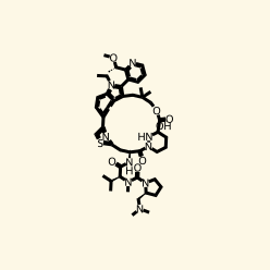 CCn1c(-c2cccnc2[C@H](C)OC)c2c3cc(ccc31)-c1csc(n1)C[C@H](NC(=O)[C@H](C(C)C)N(C)C(=O)N1CCC[C@H]1CN(C)C)C(=O)N1CCC[C@@](O)(N1)C(=O)OCC(C)(C)C2